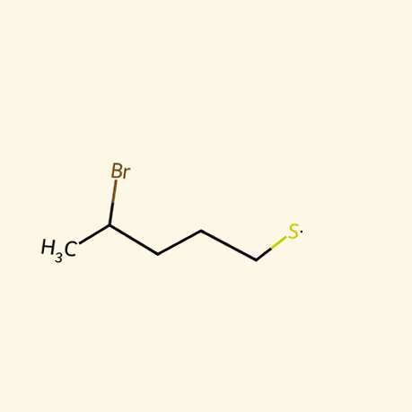 CC(Br)CCC[S]